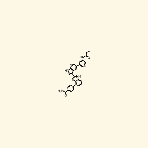 CCC(=O)Nc1cncc(-c2cnc3[nH]nc(-c4nc5c(-c6ccc(C(N)=O)cc6)cccc5[nH]4)c3c2)c1